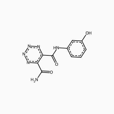 NC(=O)c1nnnnc1C(=O)Nc1cccc(O)c1